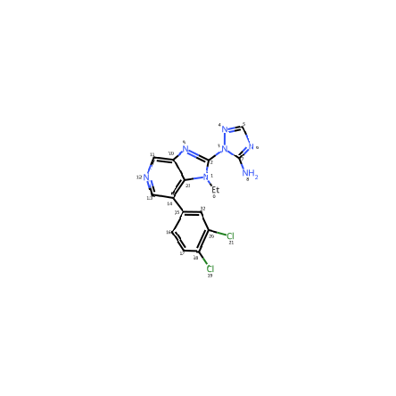 CCn1c(-n2ncnc2N)nc2cncc(-c3ccc(Cl)c(Cl)c3)c21